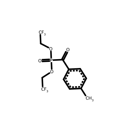 Cc1ccc(C(=O)P(=O)(OCC(F)(F)F)OCC(F)(F)F)cc1